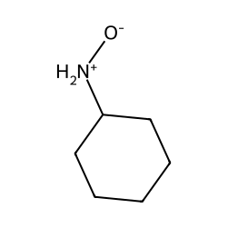 [O-][NH2+]C1CCCCC1